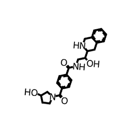 O=C(NCC(O)C1Cc2ccccc2CN1)c1ccc(C(=O)N2CCC(O)C2)cc1